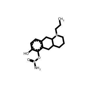 CCCN1CCCC2Cc3c(ccc(O)c3OS(N)=O)CC21